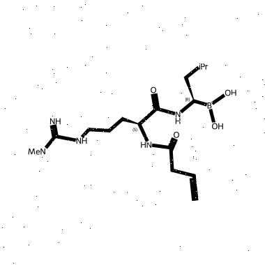 C=CCC(=O)N[C@@H](CCCNC(=N)NC)C(=O)N[C@@H](CC(C)C)B(O)O